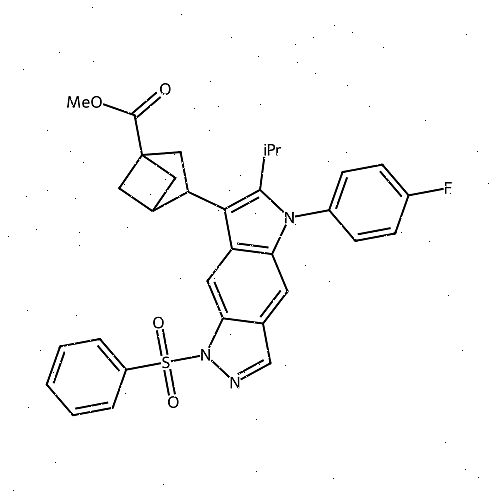 COC(=O)C12CC(C1)C(c1c(C(C)C)n(-c3ccc(F)cc3)c3cc4cnn(S(=O)(=O)c5ccccc5)c4cc13)C2